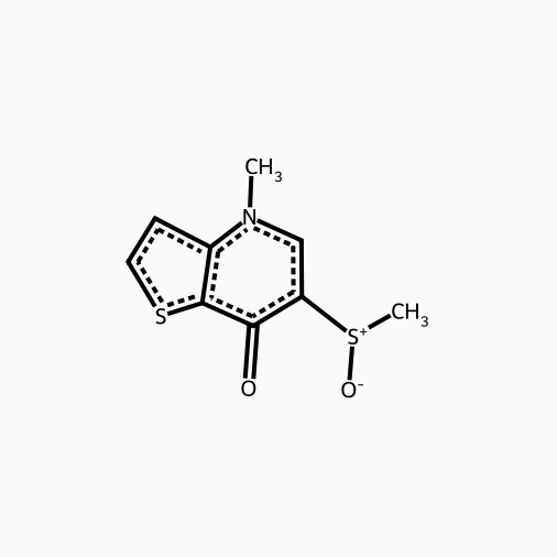 Cn1cc([S+](C)[O-])c(=O)c2sccc21